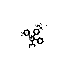 CNC.NS(=O)(=O)c1ccc(-c2c(-c3ccccc3)c(C(F)F)nn2-c2ccccc2)cc1